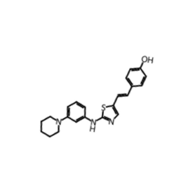 Oc1ccc(/C=C/c2cnc(Nc3cccc(N4CCCCC4)c3)s2)cc1